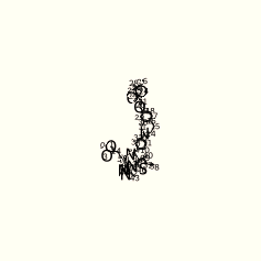 COC(=O)CC[C@@H]1N=C(c2ccc(N3CCc4ccc(OCC(=O)OC(C)(C)C)cc4C3)cc2)c2c(sc(C)c2C)-n2c(C)nnc21